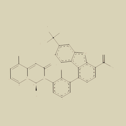 Cc1c(-c2ccc(C(N)=O)c3[nH]c4cc(C(C)(C)O)ccc4c23)cccc1N1C(=O)C=C2C(Cl)=CC=CN2[C@@H]1O